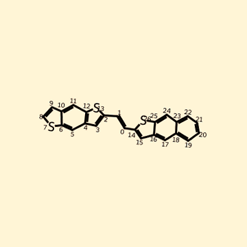 C(=C\c1cc2cc3sccc3cc2s1)/c1cc2cc3ccccc3cc2s1